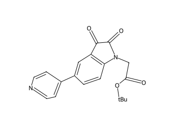 CC(C)(C)OC(=O)CN1C(=O)C(=O)c2cc(-c3ccncc3)ccc21